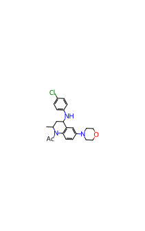 CC(=O)N1c2ccc(N3CCOCC3)cc2C(Nc2ccc(Cl)cc2)CC1C